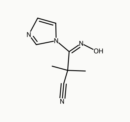 CC(C)(C#N)C(=NO)n1ccnc1